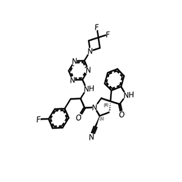 N#C[C@@H]1C[C@@]2(CN1C(=O)C(Cc1cccc(F)c1)Nc1ncnc(N3CC(F)(F)C3)n1)C(=O)Nc1ccccc12